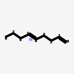 C=CCC/C=C/CCC